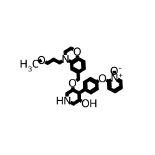 COCCCN1CCOc2ccc(COC3CNCC(O)C3c3ccc(Oc4cccc[n+]4[O-])cc3)cc21